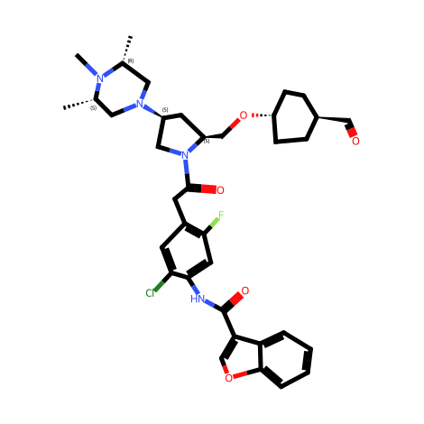 C[C@@H]1CN([C@H]2C[C@@H](CO[C@H]3CC[C@H](C=O)CC3)N(C(=O)Cc3cc(Cl)c(NC(=O)c4coc5ccccc45)cc3F)C2)C[C@H](C)N1C